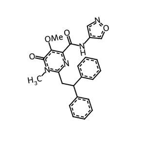 COc1c(C(=O)Nc2cnoc2)nc(CC(c2ccccc2)c2ccccc2)n(C)c1=O